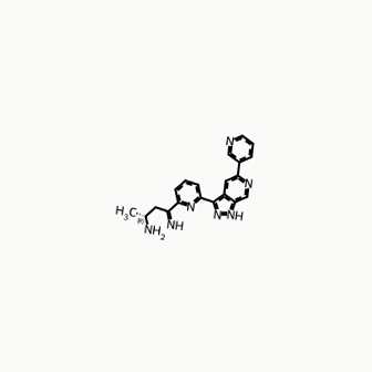 C[C@@H](N)CC(=N)c1cccc(-c2n[nH]c3cnc(-c4cccnc4)cc23)n1